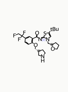 CC(C)(C)c1cn(C[C@H]2CCCO2)/c(=N/C(=O)c2cc(C(F)(F)CF)ccc2OC[C@@H]2CCNC2)s1